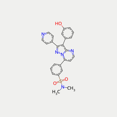 CN(C)S(=O)(=O)c1cccc(-c2ccnc3c(-c4cccc(O)c4)c(-c4ccncc4)nn23)c1